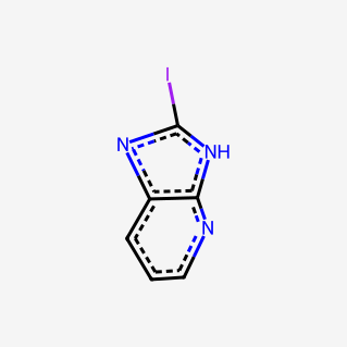 Ic1nc2cccnc2[nH]1